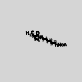 C=CC1CCN(CCCCCCCCCCCCCCCC)C1=O